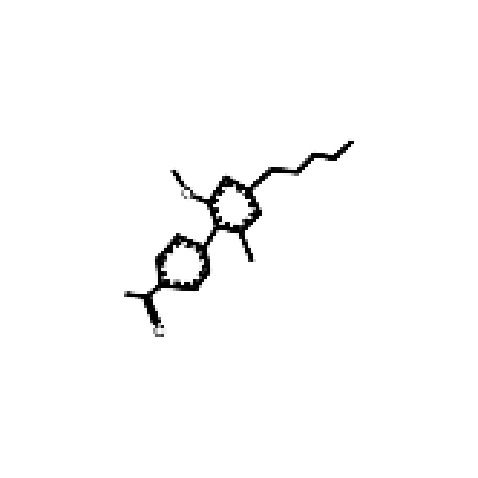 CCCCCc1cc(C)c(-c2ccc(C(C)=O)cc2)c(OC)c1